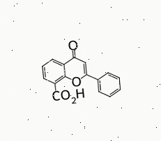 O=C(O)c1cccc2c(=O)cc(-c3ccccc3)oc12